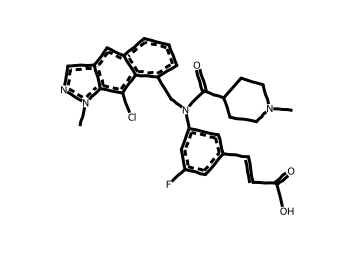 CN1CCC(C(=O)N(Cc2cccc3cc4cnn(C)c4c(Cl)c23)c2cc(F)cc(C=CC(=O)O)c2)CC1